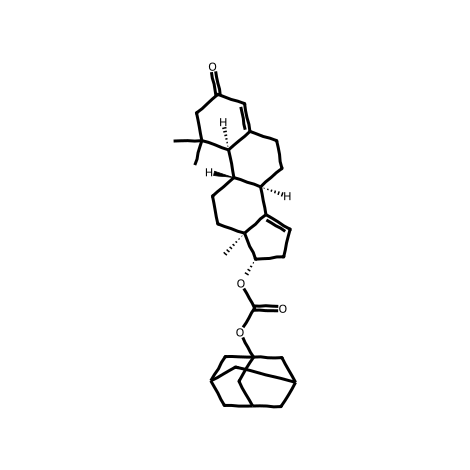 CC1(C)CC(=O)C=C2CC[C@H]3C4=CC[C@H](OC(=O)OC56CC7CC(CC(C7)C5)C6)[C@@]4(C)CC[C@@H]3[C@H]21